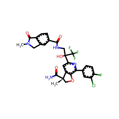 CN1Cc2cc(C(=O)NCC(O)(c3cc4c(c(-c5ccc(F)c(Cl)c5)n3)OC[C@]4(C)C(N)=O)C(F)(F)F)ccc2C1=O